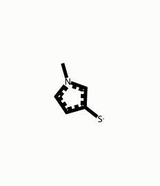 Cn1ccc([S])c1